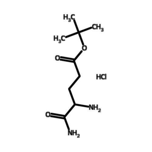 CC(C)(C)OC(=O)CCC(N)C(N)=O.Cl